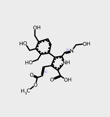 COC(=O)/C=C/c1c(C(=O)O)[nH]c(/C=N/CO)c1-c1ccc(CO)c(CO)c1CO